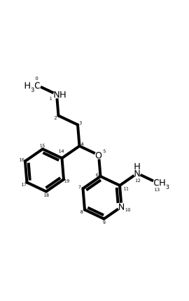 CNCCC(Oc1cccnc1NC)c1ccccc1